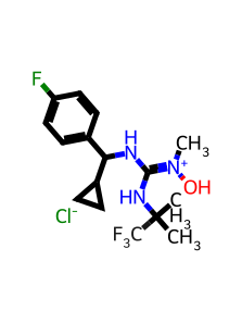 C/[N+](O)=C(\NC(c1ccc(F)cc1)C1CC1)NC(C)(C)C(F)(F)F.[Cl-]